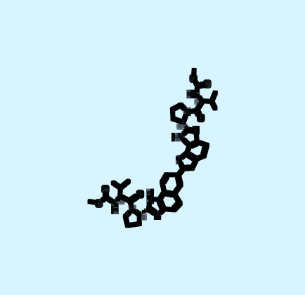 COC(=O)N[C@H](C(=O)N1CCC[C@H]1c1nc2ccc3cc(-c4cc5ccc6nc([C@@H]7CCCN7C(=O)[C@@H](NC(=O)OC)C(C)C)[nH]c6c5s4)ccc3c2[nH]1)C(C)C